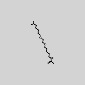 CC(=O)NCCCCCOCCOCCCCCC(C)C